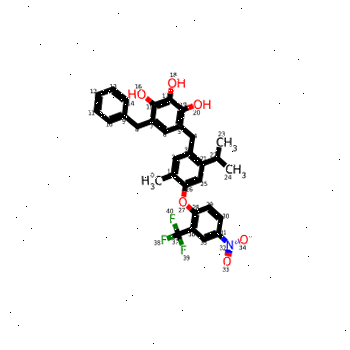 Cc1cc(Cc2cc(Cc3ccccc3)c(O)c(O)c2O)c(C(C)C)cc1Oc1ccc([N+](=O)[O-])cc1C(F)(F)F